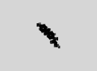 NCC(=O)Nc1ccc(S(=O)(=O)c2ccc(Br)cc2)cc1